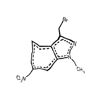 Cn1nc(Br)c2ccc([N+](=O)[O-])cc21